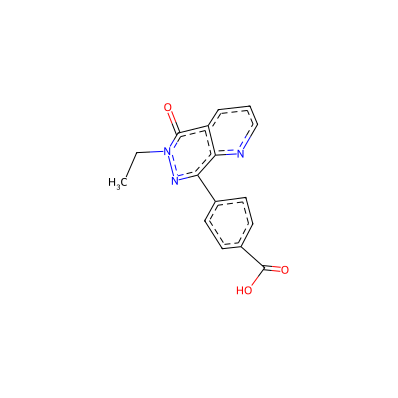 CCn1nc(-c2ccc(C(=O)O)cc2)c2ncccc2c1=O